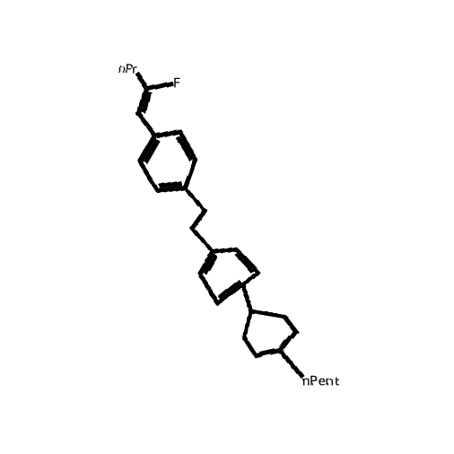 CCCCCC1CCC(c2ccc(CCc3ccc(C=C(F)CCC)cc3)cc2)CC1